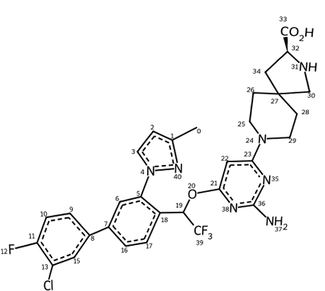 Cc1ccn(-c2cc(-c3ccc(F)c(Cl)c3)ccc2C(Oc2cc(N3CCC4(CC3)CN[C@H](C(=O)O)C4)nc(N)n2)C(F)(F)F)n1